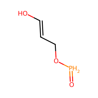 O=[PH2]OCC=CO